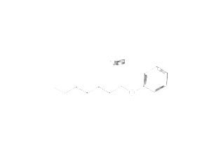 C#N.CCCCCCCOc1ccccc1